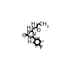 CCC(=O)NC1=NC(c2ccc(F)cc2)NC(=O)N1